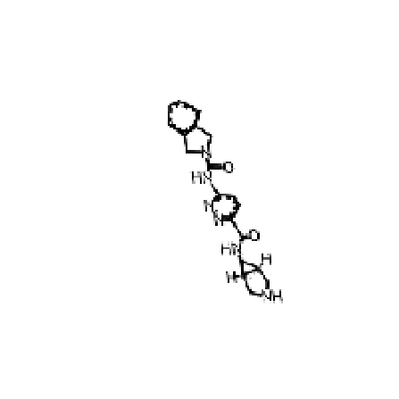 O=C(NC1[C@H]2CNC[C@@H]12)c1ccc(NC(=O)N2Cc3ccccc3C2)nn1